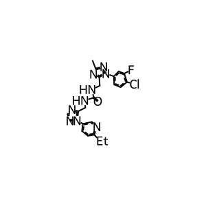 CCc1ccc(-n2ncnc2CNC(=O)NCc2nc(C)nn2-c2ccc(Cl)c(F)c2)cn1